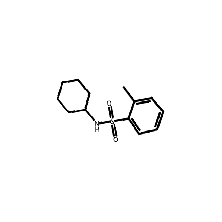 Cc1ccccc1S(=O)(=O)NC1CCCCC1